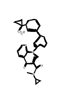 CN(C(=O)c1cn(-c2cccc(-c3cccc(C4(C(=O)O)CC4)c3)c2)c2ncccc2c1=O)C1CC1